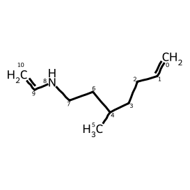 C=CCCC(C)CCNC=C